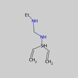 C=C[SiH](C=C)NCNCC